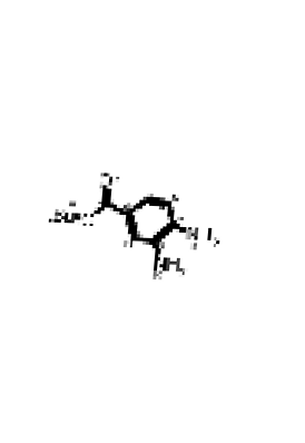 CC(C)(C)OC(=O)c1ccc(N)c(N)c1